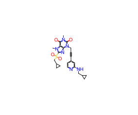 Cn1c(=O)c2c(nc(S(=O)(=O)CC3CC3)n2C)n(CC#Cc2ccnc(NCC3CC3)c2)c1=O